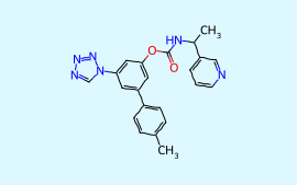 Cc1ccc(-c2cc(OC(=O)NC(C)c3cccnc3)cc(-n3cnnn3)c2)cc1